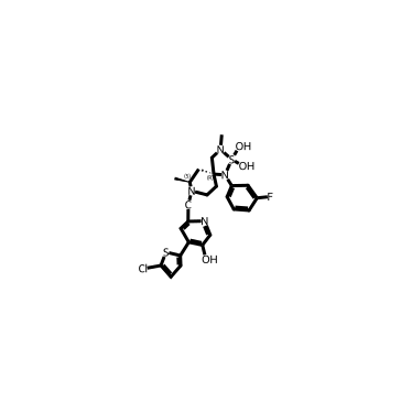 C[C@H]1C[C@]2(CCN1Cc1cc(-c3ccc(Cl)s3)c(O)cn1)CN(C)S(O)(O)N2c1cccc(F)c1